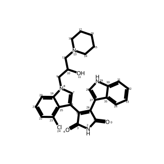 O=C1NC(=O)C(c2cn(CC(O)CN3CCCCC3)c3cccc(Cl)c23)=C1c1c[nH]c2ccccc12